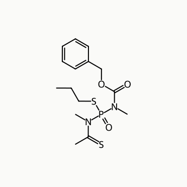 CCCSP(=O)(N(C)C(=O)OCc1ccccc1)N(C)C(C)=S